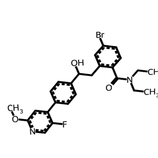 CCN(CC)C(=O)c1ccc(Br)cc1CC(O)c1ccc(-c2cc(OC)ncc2F)cc1